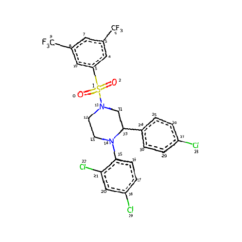 O=S(=O)(c1cc(C(F)(F)F)cc(C(F)(F)F)c1)N1CCN(c2ccc(Cl)cc2Cl)C(c2ccc(Cl)cc2)C1